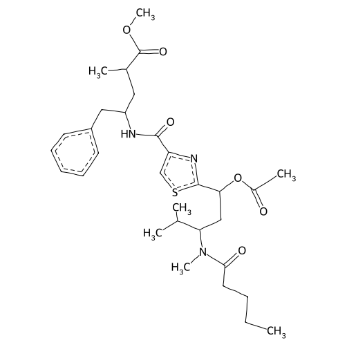 CCCCC(=O)N(C)C(CC(OC(C)=O)c1nc(C(=O)NC(Cc2ccccc2)CC(C)C(=O)OC)cs1)C(C)C